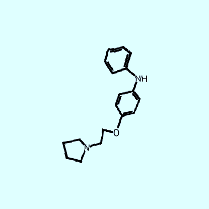 c1ccc(Nc2ccc(OCCN3CCCC3)cc2)cc1